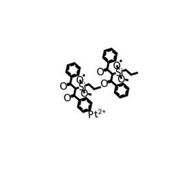 CCC[Si](OC)(OC)C(C(=O)c1ccccc1)C(=O)c1ccccc1.CCC[Si](OC)(OC)C(C(=O)c1ccccc1)C(=O)c1ccccc1.[Pt+2]